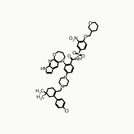 CC1(C)CCC(CN2CCN(c3ccc(C(=O)NS(=O)(=O)c4ccc(OCC5CCCOC5)c([N+](=O)[O-])c4)c(N4CCCOc5nc6[nH]ccc6cc54)c3)CC2)=C(c2ccc(Cl)cc2)C1